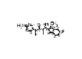 CC(C)C(NC(=O)Nc1cnc(N)nc1)c1cc2ccc(F)cc2n1C